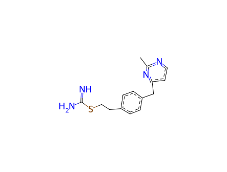 Cc1nccc(Cc2ccc(CCSC(=N)N)cc2)n1